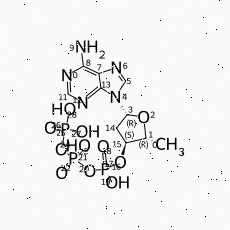 C[C@H]1O[C@@H](n2cnc3c(N)ncnc32)C[C@@H]1OP(=O)(O)OP(=O)(O)OP(=O)(O)O